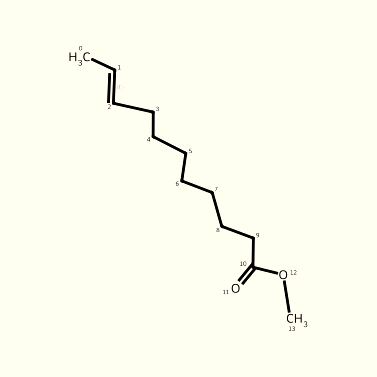 C/C=C/CCCCCCCC(=O)OC